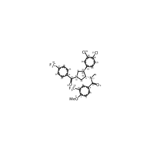 COc1ccc(C(=O)N(C)[C@@H]2CN(C(=O)c3ccc(C(F)(F)F)cc3)C[C@H]2c2ccc(Cl)c(Cl)c2)cc1C(F)(F)F